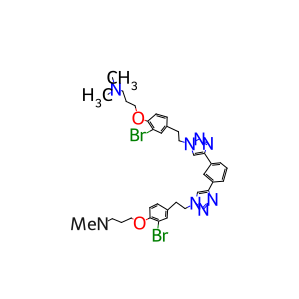 CNCCCOc1ccc(CCn2cc(-c3cccc(-c4cn(CCc5ccc(OCCCN(C)C)c(Br)c5)nn4)c3)nn2)cc1Br